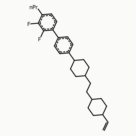 C=CC1CCC(CCC2CCC(c3ccc(-c4ccc(CCC)c(F)c4F)cc3)CC2)CC1